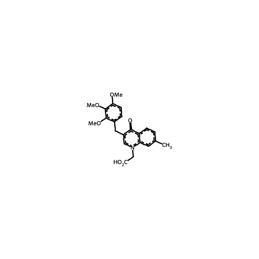 COc1ccc(Cc2cn(CC(=O)O)c3cc(C)ccc3c2=O)c(OC)c1OC